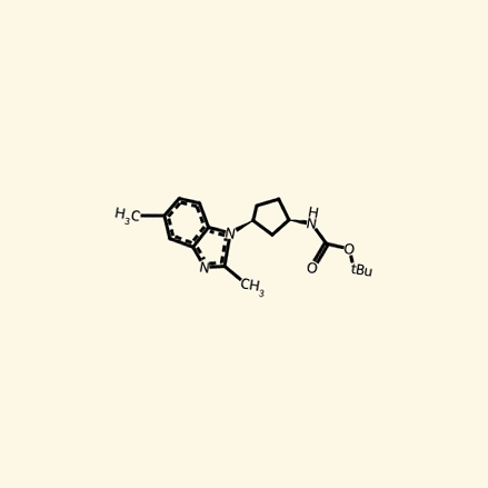 Cc1ccc2c(c1)nc(C)n2[C@H]1CC[C@@H](NC(=O)OC(C)(C)C)C1